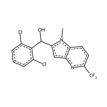 Cn1c(C(O)c2c(Cl)[c]ccc2Cl)cc2nc(C(F)(F)F)ccc21